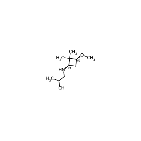 CO[C@H]1C[C@@H](NCC(C)C)C1(C)C